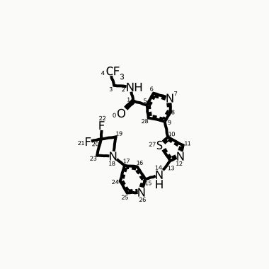 O=C(NCC(F)(F)F)c1cncc(-c2cnc(Nc3cc(N4CC(F)(F)C4)ccn3)s2)c1